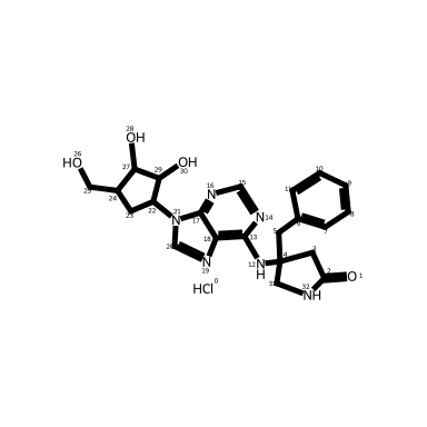 Cl.O=C1CC(Cc2ccccc2)(Nc2ncnc3c2ncn3C2CC(CO)C(O)C2O)CN1